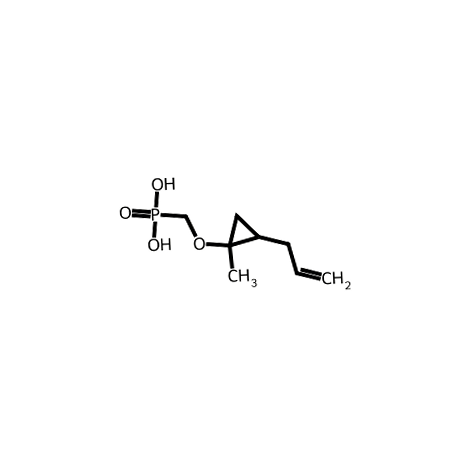 C=CCC1CC1(C)OCP(=O)(O)O